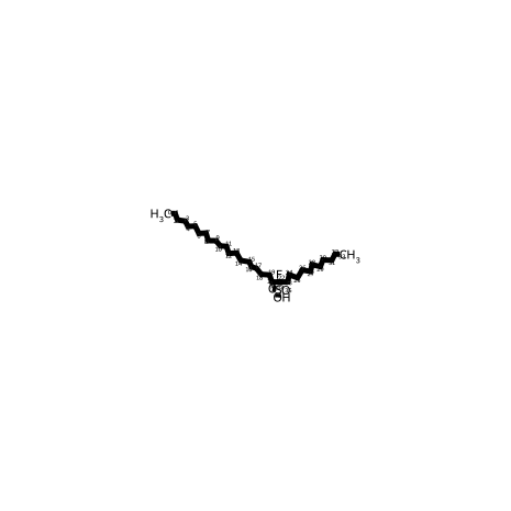 CCCCCCCCCCCCCCCCCCCCCC(F)(CCCCCCCCCCC)S(=O)(=O)O